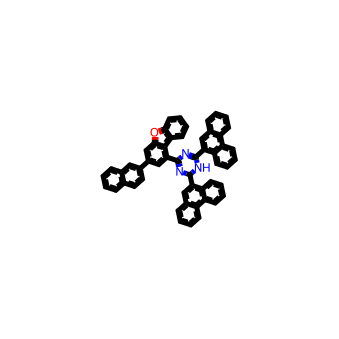 c1ccc2cc(-c3cc(C4=NC(c5cc6ccccc6c6ccccc56)NC(c5cc6ccccc6c6ccccc56)=N4)c4c(c3)oc3ccccc34)ccc2c1